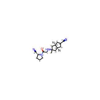 CC1(NCC(=O)N2CCC[C@H]2C#N)C[C@H]2CC(C#N)C[C@H]2C1